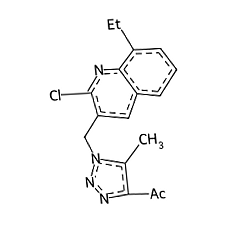 CCc1cccc2cc(Cn3nnc(C(C)=O)c3C)c(Cl)nc12